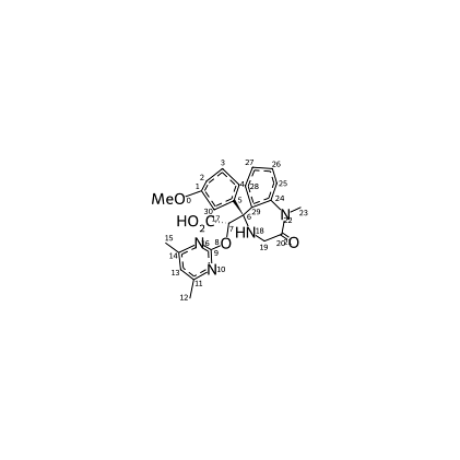 COc1cccc([C@]2([C@H](Oc3nc(C)cc(C)n3)C(=O)O)NCC(=O)N(C)c3ccccc32)c1